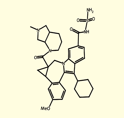 COc1ccc2c(c1)C1CC1(C(=O)N1CCCC3CN(C)CC31)Cn1c-2c(C2CCCCC2)c2ccc(C(=O)NS(N)(=O)=O)cc21